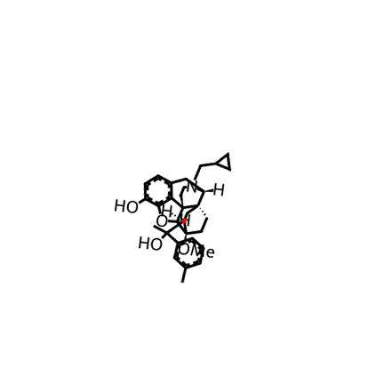 CO[C@]12CC[C@@]3(C[C@@H]1C(C)(O)c1cccc(C)c1)[C@H]1Cc4ccc(O)c5c4[C@@]3(CCN1CC1CC1)[C@H]2O5